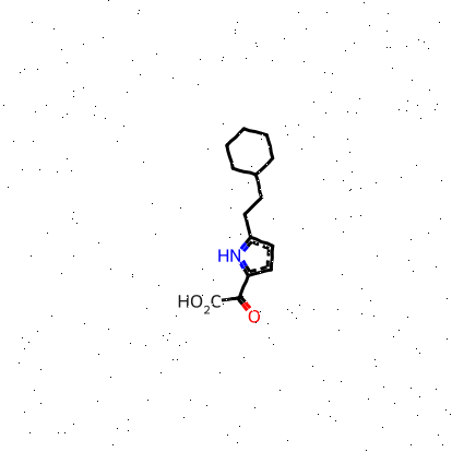 O=C(O)C(=O)c1ccc(CCC2CCCCC2)[nH]1